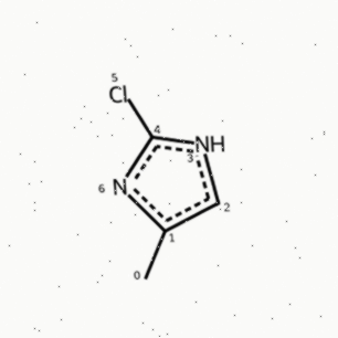 Cc1c[nH]c(Cl)n1